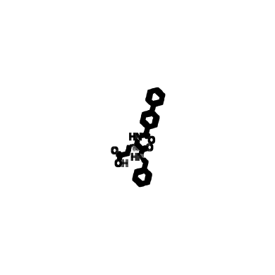 O=C(O)CC[C@H](NC(=O)c1ccc(-c2ccccc2)cc1)C(=O)NCc1ccccc1